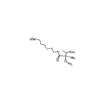 CCCCCCCCCCCCCCCCOC(=O)C(CCCC)(OP)C(C)CCCCCCCCCC